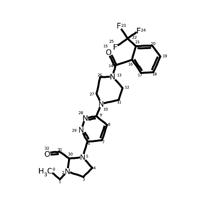 CCN1CCN(c2ccc(N3CCN(C(=O)c4ccccc4C(F)(F)F)CC3)nn2)C1C=O